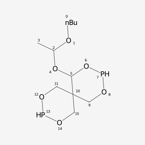 CCCCOC(C)OC1OPOCC12COPOC2